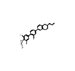 CCCC1CCc2cc(-c3ccc(-c4cc(F)c(N=C=S)c(F)c4)c(F)c3)ccc2C1